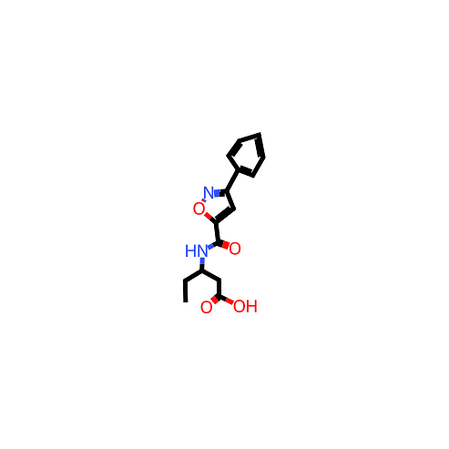 CCC(CC(=O)O)NC(=O)c1cc(-c2ccccc2)no1